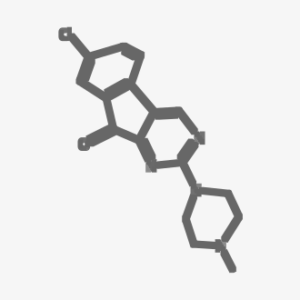 CN1CCN(c2ncc3c(n2)C(=O)c2cc(Cl)ccc2-3)CC1